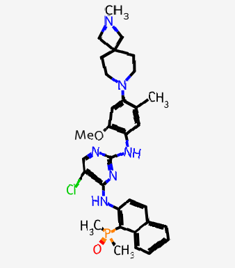 COc1cc(N2CCC3(CC2)CN(C)C3)c(C)cc1Nc1ncc(Cl)c(Nc2ccc3ccccc3c2P(C)(C)=O)n1